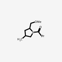 COCC1CC(C)CN1C(=O)C(C)C